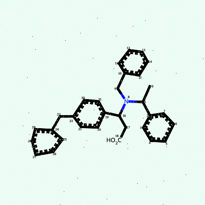 CC(c1ccccc1)N(Cc1ccccc1)C(CC(=O)O)c1ccc(Cc2ccccc2)cc1